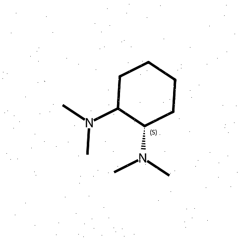 CN(C)C1CCCC[C@@H]1N(C)C